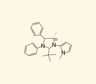 C[C@H]1C(c2ccccc2)N(c2ccccc2)C(C(C)(C)C)N1c1cccn1C